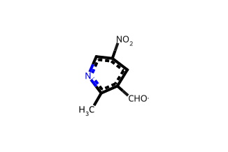 Cc1ncc([N+](=O)[O-])cc1[C]=O